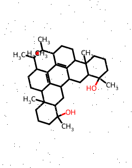 CC(C)C1CCC2C3=C1C1=C4C(CC5C(C)(O)CCCC5(C)C4CCC1C(C)C)C3CC1C(C)(O)CCCC21C